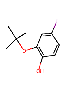 CC(C)(C)Oc1cc(I)ccc1O